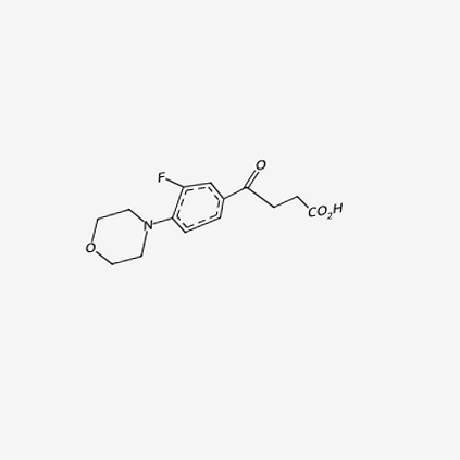 O=C(O)CCC(=O)c1ccc(N2CCOCC2)c(F)c1